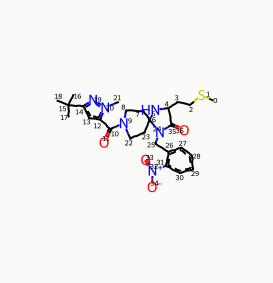 CSCCC1NC2(CCN(C(=O)c3cc(C(C)(C)C)nn3C)CC2)N(Cc2ccccc2[N+](=O)[O-])C1=O